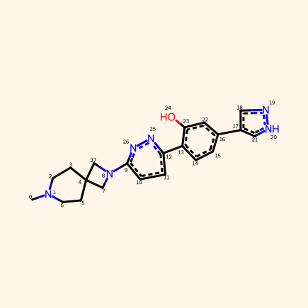 CN1CCC2(CC1)CN(c1ccc(-c3ccc(-c4cn[nH]c4)cc3O)nn1)C2